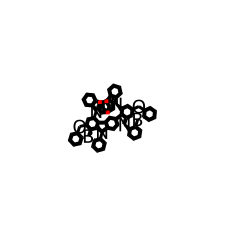 c1ccc2c(c1)Oc1cc(-n3c4ccccc4c4ccccc43)c3c4cc5c6c(-n7c8ccccc8c8ccccc87)cc7c8c6n(c5cc4n4c3c1B2c1ccccc1-4)-c1ccccc1B8c1ccccc1O7